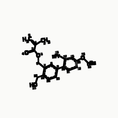 C=C(C)C(=O)OCc1cc(-c2ccc(OCCCC)cc2CCC)ccc1CO